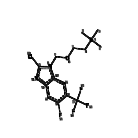 C[Si](C)(C)CCOCn1c(Cl)nc2cc(F)c(C(F)(F)F)cc21